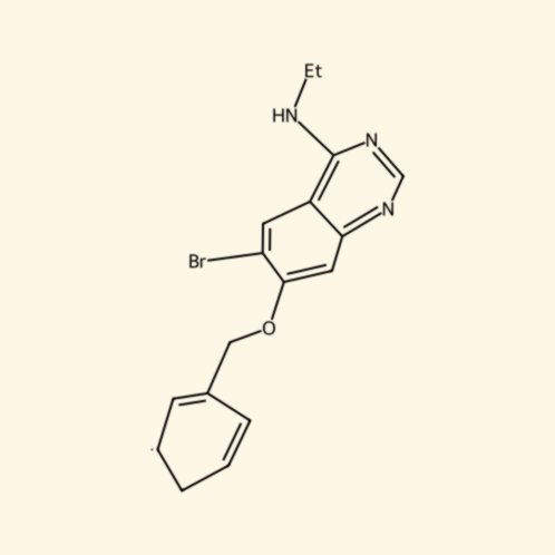 CCNc1ncnc2cc(OCC3=C[CH]CC=C3)c(Br)cc12